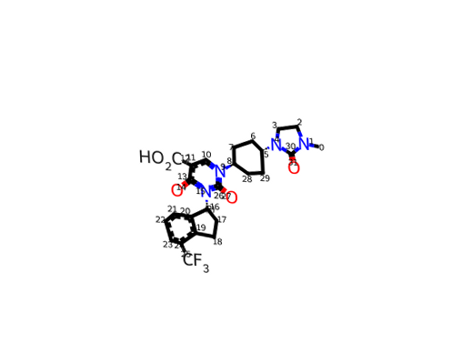 CN1CCN([C@H]2CC[C@H](n3cc(C(=O)O)c(=O)n([C@@H]4CCc5c4cccc5C(F)(F)F)c3=O)CC2)C1=O